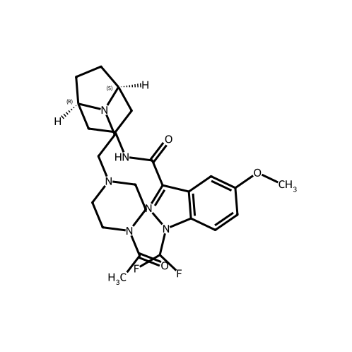 COc1ccc2c(c1)c(C(=O)NC1C[C@H]3CC[C@@H](C1)N3CCN1CCN(C(C)=O)CC1)nn2C(F)F